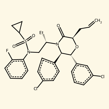 C=CC[C@H]1O[C@H](c2cccc(Cl)c2)[C@@H](c2ccc(Cl)cc2)N([C@@H](CC)CN(c2ccccc2F)S(=O)(=O)C2CC2)C1=O